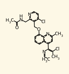 C/C=N\C(=C(/C)Cl)c1cc(C)nc2c(OCc3c(Cl)ccnc3CNC(C)=O)cccc12